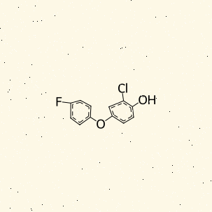 Oc1ccc(Oc2ccc(F)cc2)cc1Cl